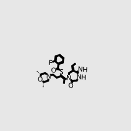 C/C=C1/CN(/C(C)=C(/CCN2C[C@@H](C)O[C@@H](C)C2)SC(=O)c2ccccc2F)C(=O)CNC1=N